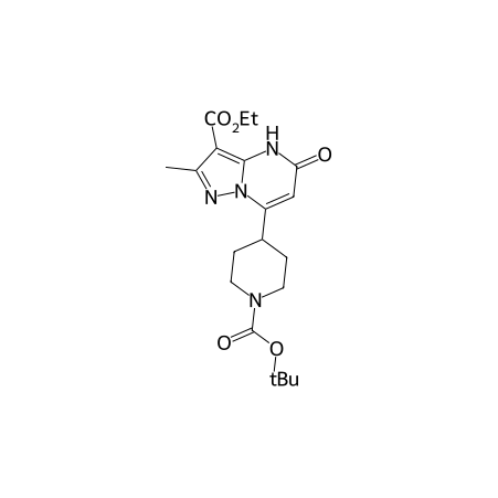 CCOC(=O)c1c(C)nn2c(C3CCN(C(=O)OC(C)(C)C)CC3)cc(=O)[nH]c12